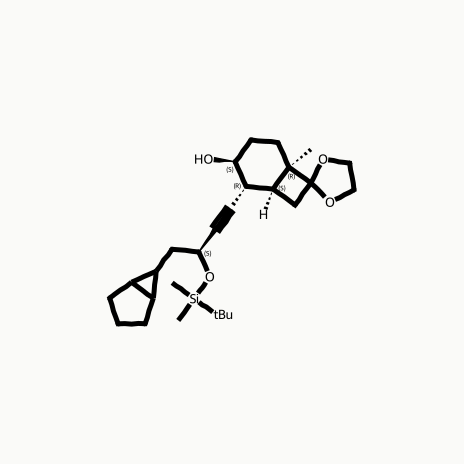 CC(C)(C)[Si](C)(C)O[C@H](C#C[C@@H]1[C@@H](O)CC[C@]2(C)[C@H]1CC21OCCO1)CC1C2CCCC21